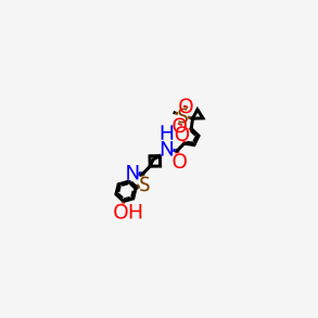 CS(=O)(=O)C1(c2ccc(C(=O)NC34CC(c5nc6ccc(O)cc6s5)(C3)C4)o2)CC1